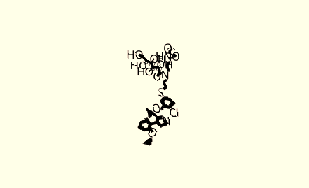 CS(=O)(=O)NCCCN(CCCSc1ccc(Cl)c(COC2(c3cnccc3-c3ccccc3OC3CC3)CC2)c1)C(=O)[C@@H](O)[C@@H](O)[C@H](O)[C@@H](O)CO